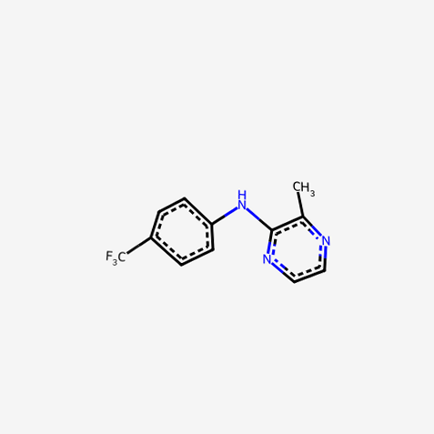 Cc1nccnc1Nc1ccc(C(F)(F)F)cc1